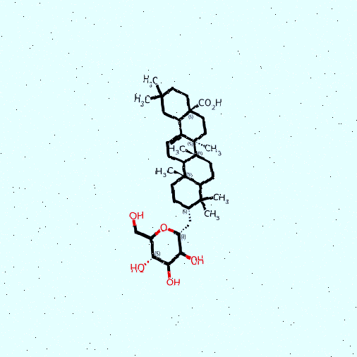 CC1(C)CC[C@]2(C(=O)O)CC[C@]3(C)C(=CCC4[C@@]5(C)CC[C@@H](C[C@H]6OC(CO)[C@@H](O)C(O)C6O)C(C)(C)C5CC[C@]43C)C2C1